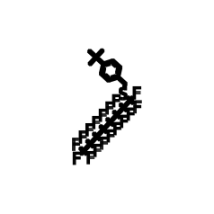 CC(C)(C)c1ccc(CSC(F)(F)C(F)(F)C(F)(F)C(F)(F)C(F)(F)C(F)(F)C(F)(F)C(F)(F)F)cc1